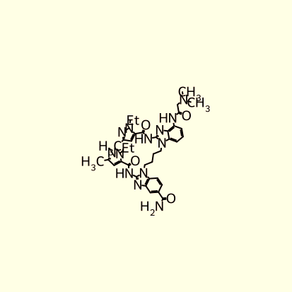 CCn1nc(C)cc1C(=O)Nc1nc2cc(C(N)=O)ccc2n1CCCCn1c(NC(=O)c2cc(C)nn2CC)nc2c(NC(=O)CN(C)C)cccc21